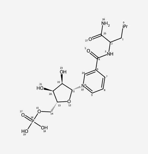 CC(C)CC(NC(=O)c1ccc[n+]([C@@H]2O[C@H](COP(=O)(O)O)[C@@H](O)[C@H]2O)c1)C(N)=O